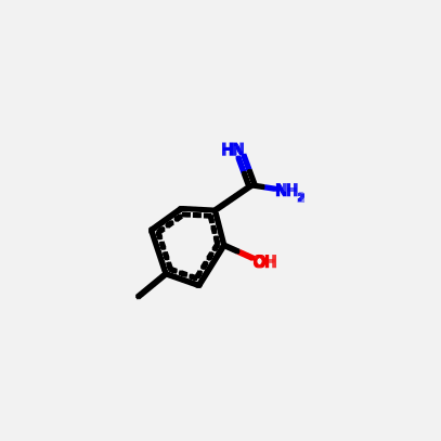 Cc1ccc(C(=N)N)c(O)c1